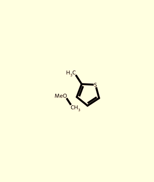 COC.Cc1cccs1